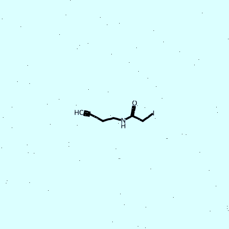 C#CCCNC(=O)CI